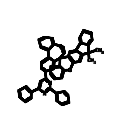 CC1(C)c2ccccc2-c2cc3c(cc21)Oc1ccccc1C31c2ccccc2-c2ccccc2-c2ccc(-c3cc(-c4ccccc4)nc(-c4ccccc4)n3)cc21